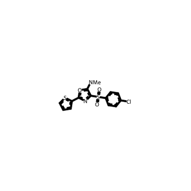 CNc1oc(-c2cccs2)nc1S(=O)(=O)c1ccc(Cl)cc1